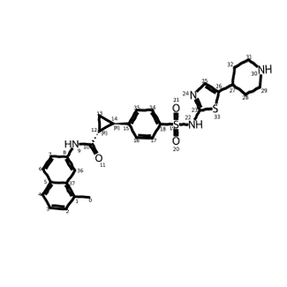 Cc1cccc2ccc(NC(=O)[C@@H]3C[C@H]3c3ccc(S(=O)(=O)Nc4ncc(C5CCNCC5)s4)cc3)cc12